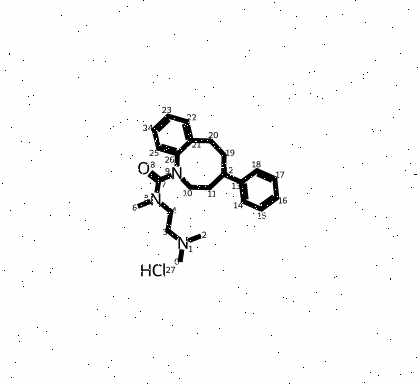 CN(C)CCN(C)C(=O)N1CCC(c2ccccc2)CCc2ccccc21.Cl